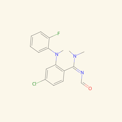 CN(C)/C(=N/C=O)c1ccc(Cl)cc1N(C)c1ccccc1F